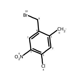 [CH2]c1cc(Cl)c([N+](=O)[O-])cc1CBr